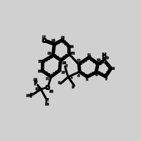 CC(C)(C)c1cc2cc[nH]c2cc1-n1ccc(=O)c2ccc(OC(F)(F)F)cc21